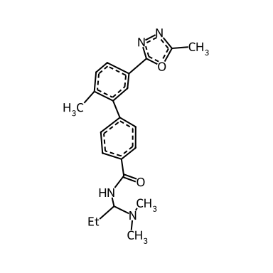 CCC(NC(=O)c1ccc(-c2cc(-c3nnc(C)o3)ccc2C)cc1)N(C)C